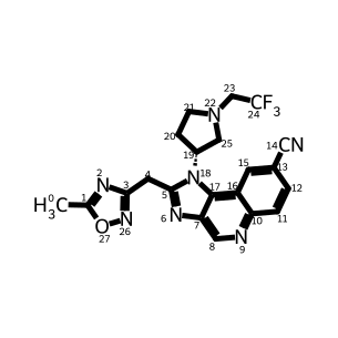 Cc1nc(Cc2nc3cnc4ccc(C#N)cc4c3n2[C@@H]2CCN(CC(F)(F)F)C2)no1